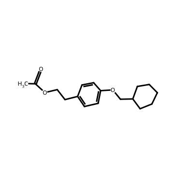 CC(=O)OCCc1ccc(OCC2CCCCC2)cc1